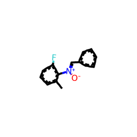 Cc1cccc(F)c1[N+]([O-])=Cc1ccccc1